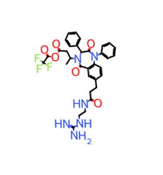 CC(CC(=O)OC(=O)C(F)(F)F)N1C(=O)c2cc(CCC(=O)NCCNC(=N)N)ccc2N(c2ccccc2)C(=O)C1c1ccccc1